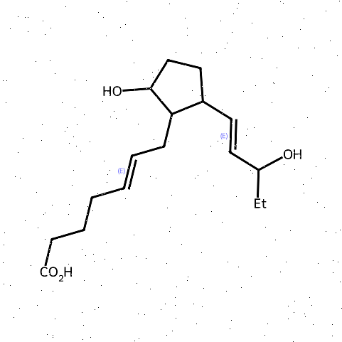 CCC(O)/C=C/C1CCC(O)C1C/C=C/CCCC(=O)O